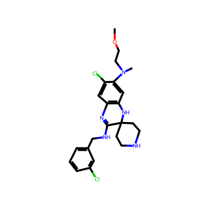 COCCN(C)c1cc2c(cc1Cl)N=C(NCc1cccc(Cl)c1)C1(CCNCC1)N2